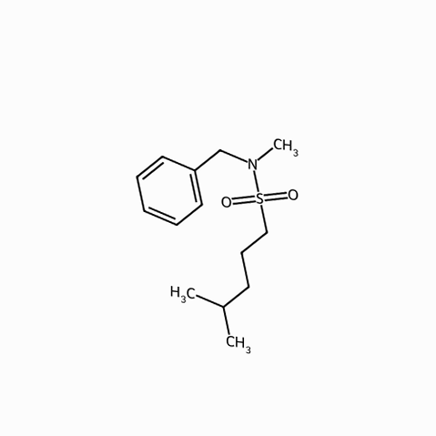 CC(C)CCCS(=O)(=O)N(C)Cc1ccccc1